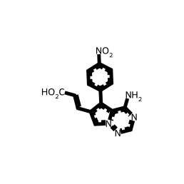 Nc1ncnn2cc(C=CC(=O)O)c(-c3ccc([N+](=O)[O-])cc3)c12